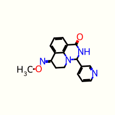 CON=C1CCN2c3c(cccc31)C(=O)NC2c1cccnc1